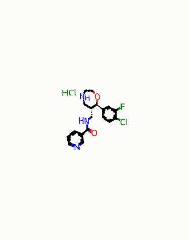 Cl.O=C(NC[C@@H]1CNCCO[C@H]1c1ccc(Cl)c(F)c1)c1cccnc1